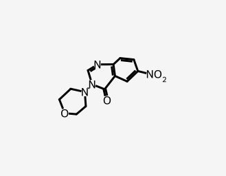 O=c1c2cc([N+](=O)[O-])ccc2ncn1N1CCOCC1